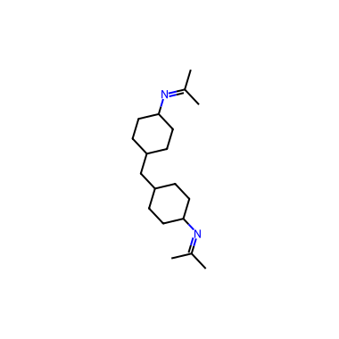 CC(C)=NC1CCC(CC2CCC(N=C(C)C)CC2)CC1